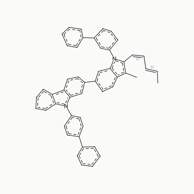 C/C=C/C=C\c1c(C)c2ccc(-c3ccc4c5ccccc5n(-c5ccc(-c6ccccc6)cc5)c4c3)cc2n1-c1cccc(-c2ccccc2)c1